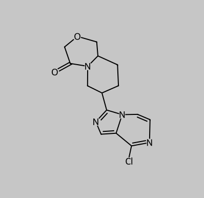 O=C1COCC2CCC(c3ncc4c(Cl)nccn34)CN12